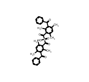 Cc1cc(C)c(C(=O)P(=O)(O)C(=O)c2c(C)cc(C)c(C(=O)c3ccccc3)c2C)c(C)c1C(=O)c1ccccc1